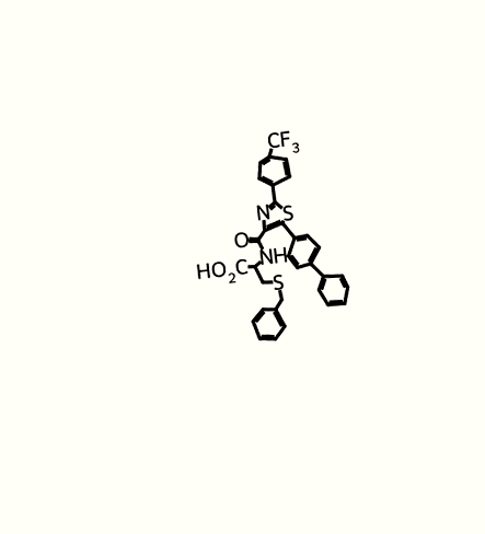 O=C(NC(CSCc1ccccc1)C(=O)O)c1nc(-c2ccc(C(F)(F)F)cc2)sc1-c1ccc(-c2ccccc2)cc1